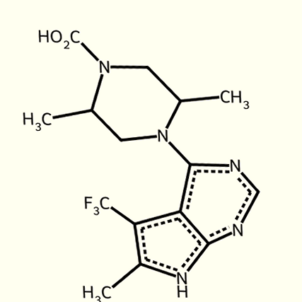 Cc1[nH]c2ncnc(N3CC(C)N(C(=O)O)CC3C)c2c1C(F)(F)F